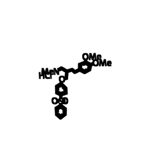 CNCC(CCc1ccc(OC)c(OC)c1)COc1ccc(S(=O)(=O)c2ccccc2)cc1.Cl